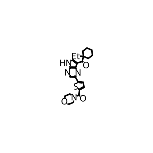 CCC1(C(=O)c2c[nH]c3ncc(-c4ccc(C(=O)N5CCOCC5)s4)nc23)CCCCC1